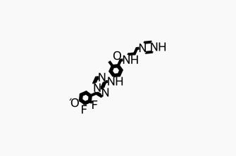 COc1ccc(-c2cnc3c(Nc4ccc(C(=O)NCCCN5CCNCC5)c(C)c4)nccn23)c(F)c1F